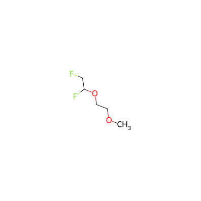 COCCOC(F)CF